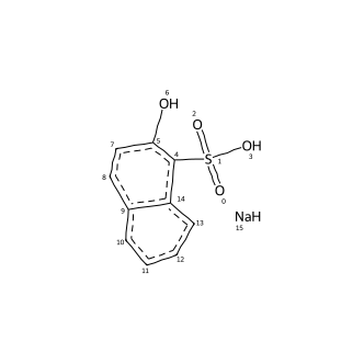 O=S(=O)(O)c1c(O)ccc2ccccc12.[NaH]